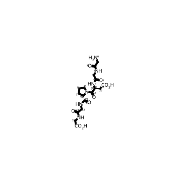 NCC(=O)NCC(=O)N[C@@H](CC(=O)O)C(=O)N1CCC[C@H]1C(=O)NCC(=O)NCC(=O)O